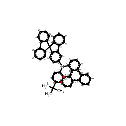 CC(C)(C)c1ccc(N(c2ccc3c(c2)-c2ccccc2C32c3ccccc3-c3ccccc32)c2cccc3c4ccccc4c4ccccc4c23)cc1